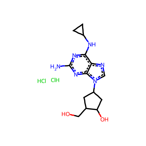 Cl.Cl.Nc1nc(NC2CC2)c2ncn(C3CC(O)C(CO)C3)c2n1